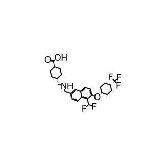 O=C(O)[C@H]1CC[C@H](CNCc2ccc3c(C(F)F)c(O[C@H]4CC[C@@H](C(F)(F)F)CC4)ccc3c2)CC1